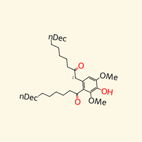 CCCCCCCCCCCCCCCC(=O)[C]c1cc(OC)c(O)c(OC)c1C(=O)CCCCCCCCCCCCCCC